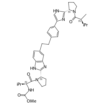 COC(=O)N[C@H](C(=O)N1CCC[C@H]1c1nc2cc(CCc3ccc(-c4c[nH]c([C@@H]5CCCN5C(=O)[C@@H](C)C(C)C)n4)cc3)ccc2[nH]1)C(C)C